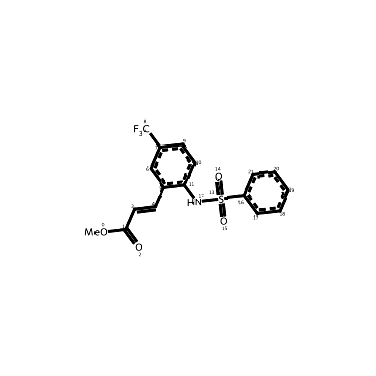 COC(=O)C=Cc1cc(C(F)(F)F)ccc1NS(=O)(=O)c1ccccc1